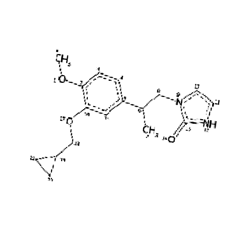 COc1ccc(C(C)Cn2cc[nH]c2=O)cc1OCC1CC1